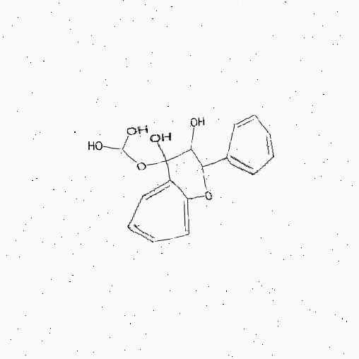 OC(O)OC1(O)c2ccccc2OC(c2ccccc2)C1O